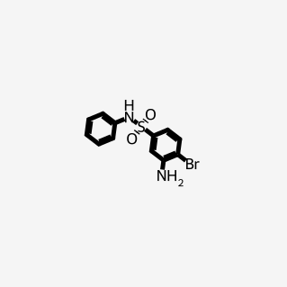 Nc1cc(S(=O)(=O)Nc2ccccc2)ccc1Br